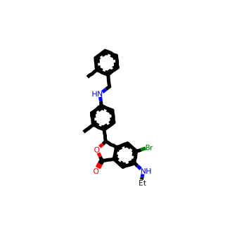 CCNc1cc2c(cc1Br)C(c1ccc(NCc3ccccc3C)cc1C)OC2=O